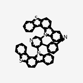 N#Cc1cccc(-c2c(-n3c4ccccc4c4ccc5sc6ccccc6c5c43)cncc2-n2c3ccccc3c3ccc4sc5ccccc5c4c32)c1